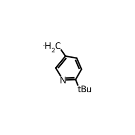 [CH2]c1ccc(C(C)(C)C)nc1